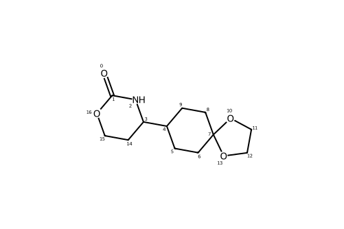 O=C1NC(C2CCC3(CC2)OCCO3)CCO1